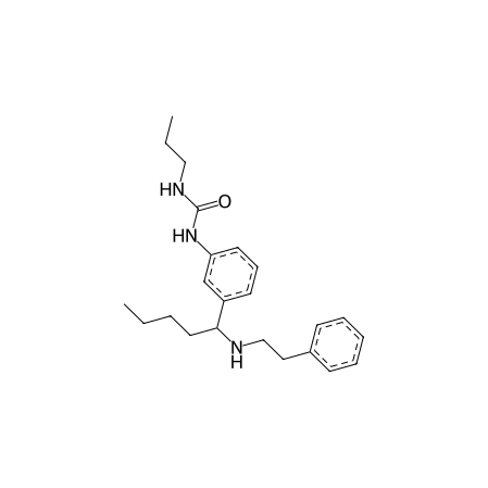 CCCCC(NCCc1ccccc1)c1cccc(NC(=O)NCCC)c1